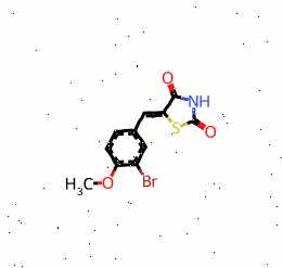 COc1ccc(/C=C2\SC(=O)NC2=O)cc1Br